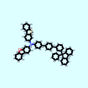 c1ccc(C2(c3cccc(-c4ccc(-c5ccc(N(c6ccc7c(c6)oc6ccccc67)c6ccc7c(c6)sc6ccccc67)cc5)cc4)c3)c3ccccc3-c3ccccc32)cc1